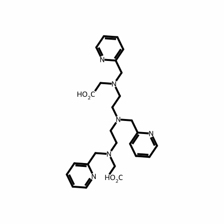 O=C(O)CN(CCN(CCN(CC(=O)O)Cc1ccccn1)Cc1ccccn1)Cc1ccccn1